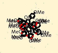 COc1ccc(OC2(c3ccc(OC)cc3)C(c3ccc(OC)cc3)(c3ccc(OC)cc3)C(c3ccc(OC)cc3)(c3ccc(OC)cc3)C(OC(c3ccc(OC)cc3)(c3ccc(OC)cc3)c3ccc(OC)cc3)(c3ccc(OC)cc3)C(c3ccc(OC)cc3)(c3ccc(OC)cc3)C2(c2ccc(OC)cc2)c2cc(-c3ccc(OC)cc3)c(OC)c(-c3ccc(OC)cc3)c2-c2ccc(OC)cc2)cc1